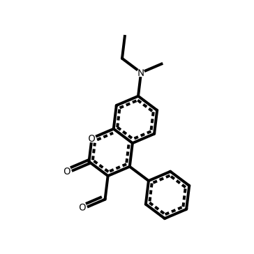 CCN(C)c1ccc2c(-c3ccccc3)c(C=O)c(=O)oc2c1